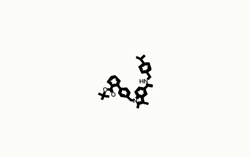 C=C(NCc1ccc(C(C)C)cc1)c1ccc2c(c1)c(C)c(C)n2Cc1ccc(-c2ccccc2C(=O)OC(C)(C)C)cc1